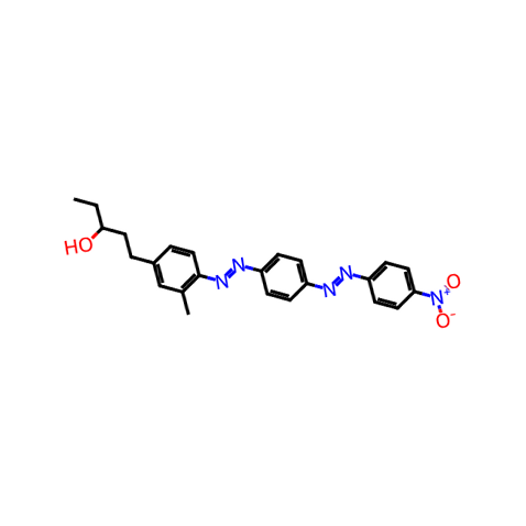 CCC(O)CCc1ccc(N=Nc2ccc(/N=N/c3ccc([N+](=O)[O-])cc3)cc2)c(C)c1